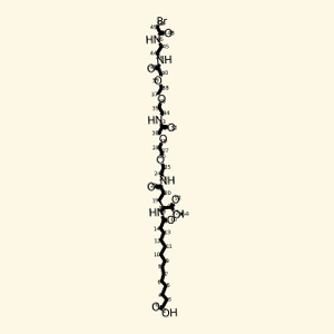 O=C(O)CCCCCCCCCCCCC(=O)N[C@@H](CCC(=O)NCCOCCOCC(=O)NCCOCCOCC(=O)NCCNC(=O)CBr)C(=O)OI